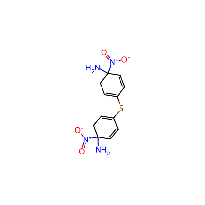 NC1([N+](=O)[O-])C=CC(SC2=CCC(N)([N+](=O)[O-])C=C2)=CC1